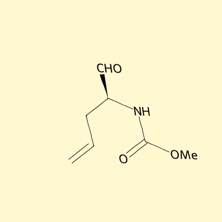 C=CC[C@@H](C=O)NC(=O)OC